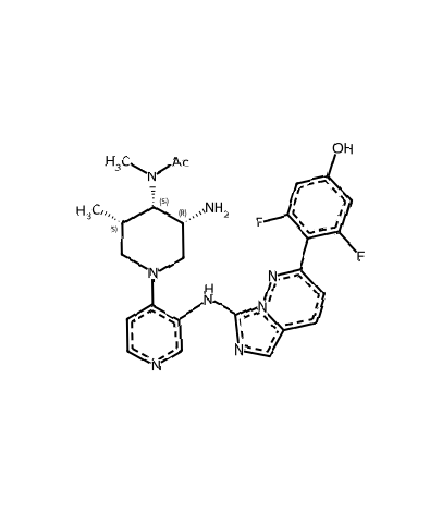 CC(=O)N(C)[C@@H]1[C@H](N)CN(c2ccncc2Nc2ncc3ccc(-c4c(F)cc(O)cc4F)nn23)C[C@@H]1C